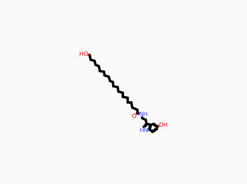 O=C(CCCCCCCCCCCCCCCCCCCCCO)NCCc1c[nH]c2ccc(O)cc12